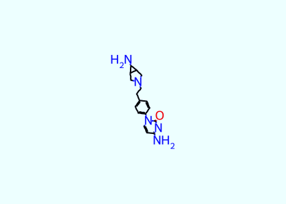 Nc1ccn(-c2ccc(CCN3CC4C(N)C4C3)cc2)c(=O)n1